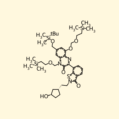 CC(C)(C)[Si](C)(C)OCc1cc(OCOCC[Si](C)(C)C)c2nc(-c3cccc4c(=O)n(CC[C@@H]5CC[C@@H](O)C5)sc34)c(=O)n(COCC[Si](C)(C)C)c2c1